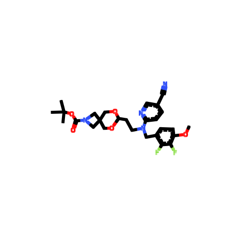 COc1ccc(CN(CCC2OCC3(CO2)CN(C(=O)OC(C)(C)C)C3)c2ccc(C#N)cn2)c(F)c1F